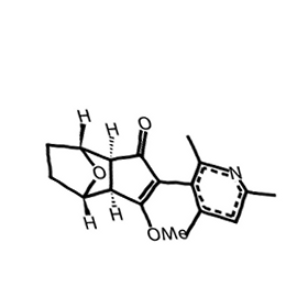 COC1=C(c2c(C)cc(C)nc2C)C(=O)[C@H]2[C@@H]1[C@@H]1CC[C@H]2O1